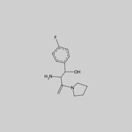 C=C(C(N)C(O)c1ccc(F)cc1)N1CCCC1